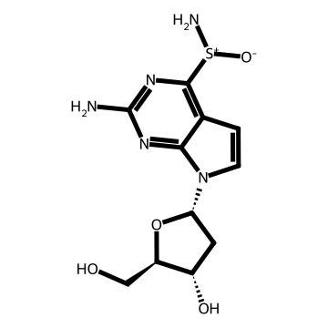 Nc1nc([S+](N)[O-])c2ccn([C@@H]3C[C@H](O)[C@@H](CO)O3)c2n1